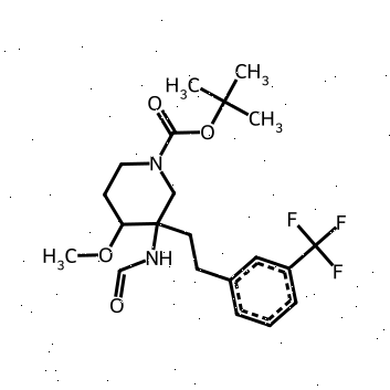 COC1CCN(C(=O)OC(C)(C)C)CC1(CCc1cccc(C(F)(F)F)c1)NC=O